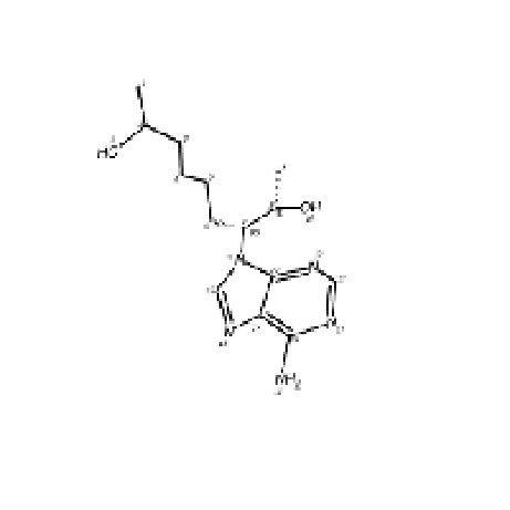 CC(O)CCCC[C@H]([C@H](C)O)n1cnc2c(N)ncnc21